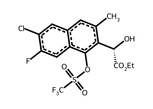 CCOC(=O)[C@@H](O)c1c(C)cc2cc(Cl)c(F)cc2c1OS(=O)(=O)C(F)(F)F